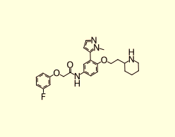 Cn1nccc1-c1cc(NC(=O)COc2cccc(F)c2)ccc1OCCC1CCCCN1